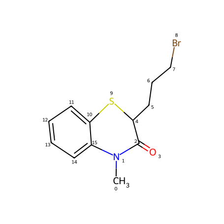 CN1C(=O)C(CCCBr)Sc2ccccc21